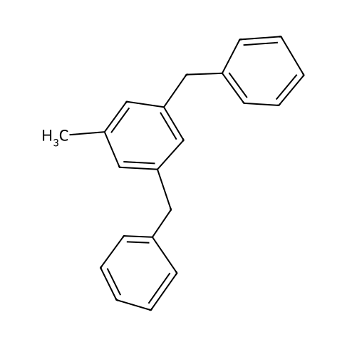 Cc1cc(Cc2ccccc2)cc(Cc2ccccc2)c1